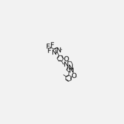 COc1cccc(C)c1-c1cc2n(n1)CCC(=O)N2Cc1ccc(-c2nc(C(F)(F)F)cn2C)cc1